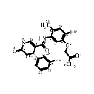 CC(=O)COc1cc(NC(=O)C2=CNC(=O)C[C@H]2c2cccc(F)c2)c(C)cc1F